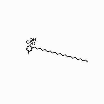 CCCCCCCCCCCCCCCCCCCCCCc1cc(C)ccc1S(=O)(=O)O